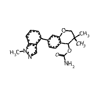 Cn1ncc2c(-c3ccc4c(c3)OCC(C)(C)C4OC(N)=O)cccc21